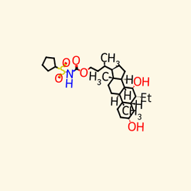 CC[C@H]1[C@@H](O)[C@@H]2[C@H](CC[C@]3(C)[C@@H]([C@H](C)CCOC(=O)NS(=O)(=O)C4CCCC4)CC[C@@H]23)[C@@]2(C)CC[C@@H](O)C[C@@H]12